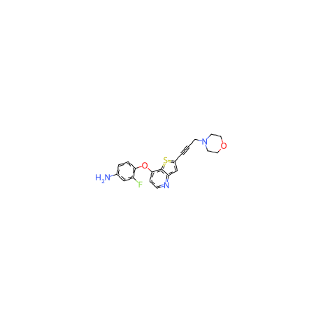 Nc1ccc(Oc2ccnc3cc(C#CCN4CCOCC4)sc23)c(F)c1